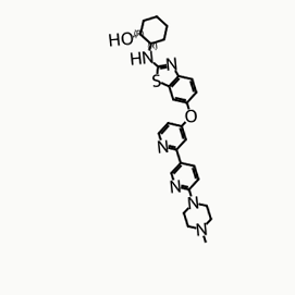 CN1CCN(c2ccc(-c3cc(Oc4ccc5nc(N[C@@H]6CCCC[C@H]6O)sc5c4)ccn3)cn2)CC1